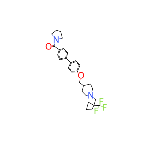 O=C(c1ccc(-c2ccc(OCC3CCN(CC4(C(F)(F)F)CCC4)CC3)cc2)cc1)N1CCCC1